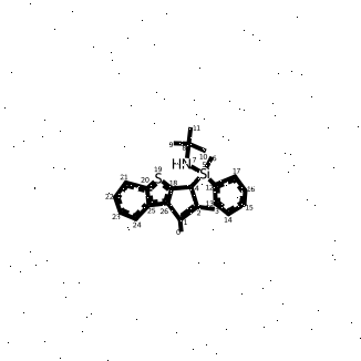 CC1=C(C)C([Si](C)(NC(C)(C)C)c2ccccc2)c2sc3ccccc3c21